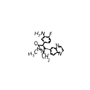 Cn1c(-c2ccc3nccnc3c2)c(-c2ccc(F)c(N)c2)c(=O)n1C